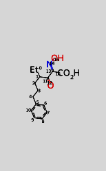 CCC(CCCc1ccccc1)C(=O)C(=NO)C(=O)O